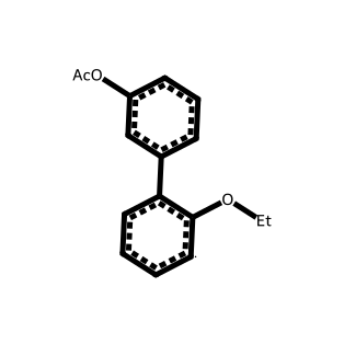 CCOc1[c]cccc1-c1cccc(OC(C)=O)c1